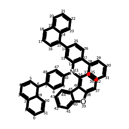 C1=CC2=CC=CC(c3ccc(N(c4cc(-c5cccc6ccccc56)ccc4-c4ccccc4)c4cccc5oc6ccccc6c45)cc3)C2C=C1